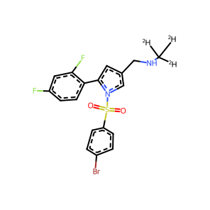 [2H]C([2H])([2H])NCc1cc(-c2ccc(F)cc2F)n(S(=O)(=O)c2ccc(Br)cc2)c1